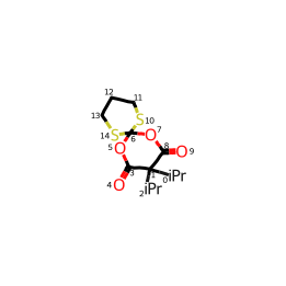 CC(C)C1(C(C)C)C(=O)OC2(OC1=O)SCCCS2